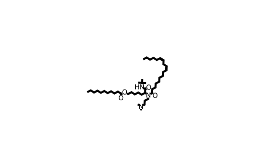 CCCCC/C=C\C/C=C\CCCCCCCC(=O)N(CCCN(C)C)C(CCCCCOC(=O)CCCCCCCCCC)C(=O)NC(C)(C)C